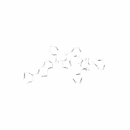 C1=Cc2c(c3cc4cc(-c5ccccc5)ccc4cc3n2-c2cccc3c2oc2cccc(-c4nc(-c5ccccc5)nc(-c5ccccc5)n4)c23)CC1